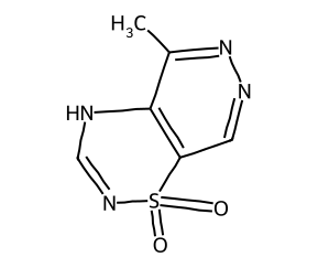 Cc1nncc2c1NC=NS2(=O)=O